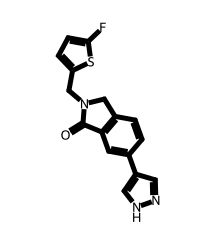 O=C1c2cc(-c3cn[nH]c3)ccc2CN1Cc1ccc(F)s1